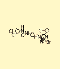 O=C(NCc1ccc(CNc2cc(-c3ccccc3Cl)nc3c(Br)cnn23)cc1)Nc1ccc(Cl)c(Cl)c1